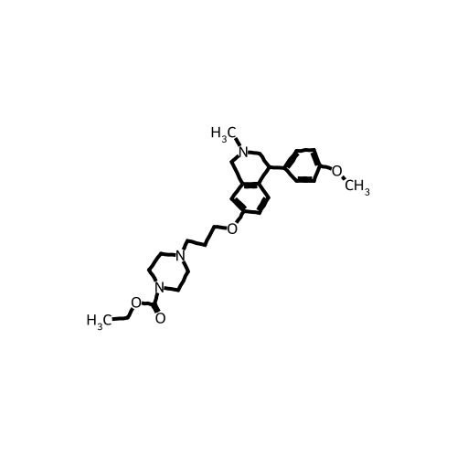 CCOC(=O)N1CCN(CCCOc2ccc3c(c2)CN(C)CC3c2ccc(OC)cc2)CC1